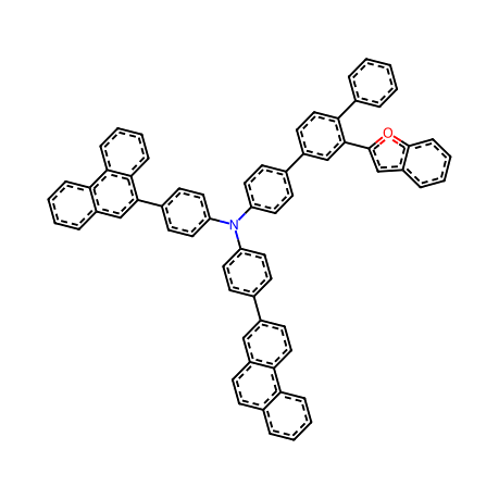 c1ccc(-c2ccc(-c3ccc(N(c4ccc(-c5ccc6c(ccc7ccccc76)c5)cc4)c4ccc(-c5cc6ccccc6c6ccccc56)cc4)cc3)cc2-c2cc3ccccc3o2)cc1